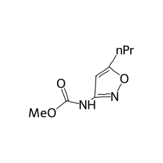 CCCc1cc(NC(=O)OC)no1